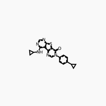 O=c1c2sc3ncnc(NC4CC4)c3c2ncn1-c1ccc(C2CC2)cc1